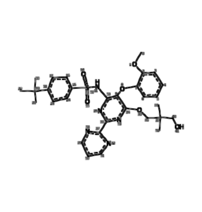 COc1ccccc1Oc1c(NS(=O)(=O)c2ccc(C(C)(C)C)cc2)nc(-c2ncccn2)nc1OCC(C)(C)CO